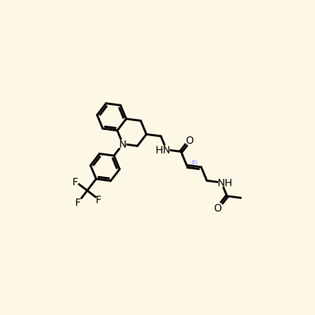 CC(=O)NC/C=C/C(=O)NCC1Cc2ccccc2N(c2ccc(C(F)(F)F)cc2)C1